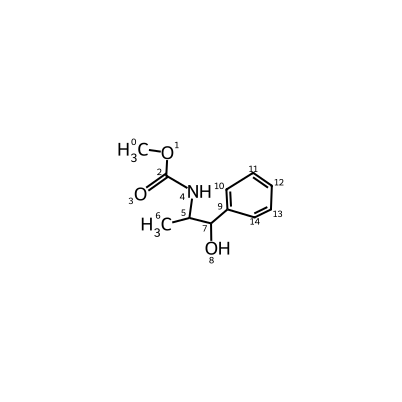 COC(=O)NC(C)C(O)c1ccccc1